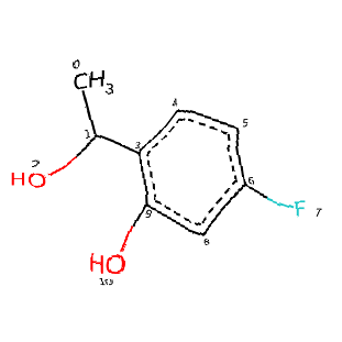 CC(O)c1ccc(F)cc1O